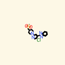 Cn1c(-c2cc(N3CCC(CS(C)(=O)=O)CC3)ncc2Cl)nc2ccccc21